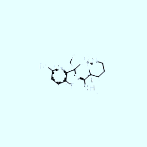 C[C@]12CCCN=[S@@]1(=O)C[C@@](CF)(c1nc(Br)ccc1F)N=C2N